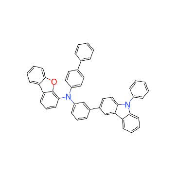 c1ccc(-c2ccc(N(c3cccc(-c4ccc5c(c4)c4ccccc4n5-c4ccccc4)c3)c3cccc4c3oc3ccccc34)cc2)cc1